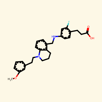 COc1cccc(CCN2CCCc3c(CNc4ccc(CCC(=O)O)c(F)c4)cccc32)c1